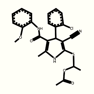 COc1ccccc1NC(=O)C1=C(C)NC(SC(C)OC(C)=O)=C(C#N)C1c1ccccc1Cl